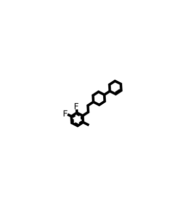 Cc1ccc(F)c(F)c1CCC1CCC(C2C=CCCC2)CC1